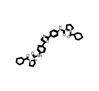 O=C(Nc1ccc(-c2cnc(-c3ccc(NC(=O)[C@@H]4CCCN4C(=O)C4CCCCC4)cc3)o2)cc1)[C@@H]1CCCN1C(=O)C1CCCCC1